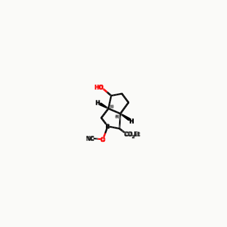 CCOC(=O)C1B(OC#N)C[C@@H]2C(O)CC[C@H]12